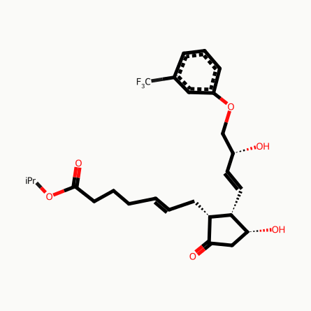 CC(C)OC(=O)CCCC=CC[C@H]1C(=O)C[C@@H](O)[C@H]1C=C[C@@H](O)COc1cccc(C(F)(F)F)c1